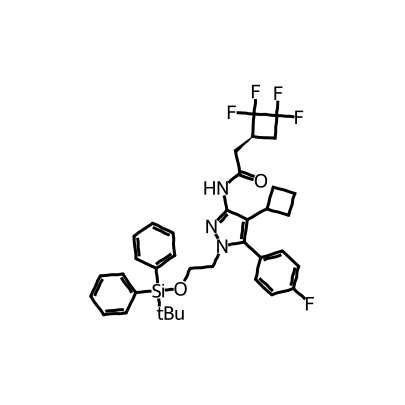 CC(C)(C)[Si](OCCn1nc(NC(=O)C[C@@H]2CC(F)(F)C2(F)F)c(C2CCC2)c1-c1ccc(F)cc1)(c1ccccc1)c1ccccc1